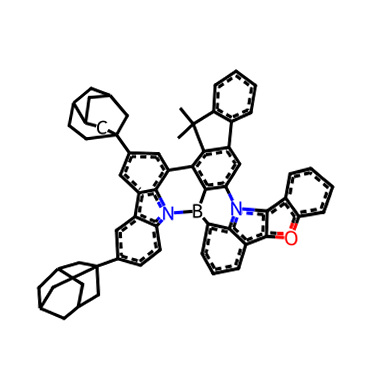 CC1(C)c2ccccc2-c2cc3c4c(c21)-c1cc(C25CCC6CC(CC6C2)C5)cc2c5cc(C67CC8CC(CC(C8)C6)C7)ccc5n(c12)B4c1cccc2c4oc5ccccc5c4n-3c12